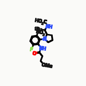 COCCC(=O)Nc1c(F)ccc([N+](=O)[O-])c1N1CCCC1C(NC(=O)O)C(C)(C)C